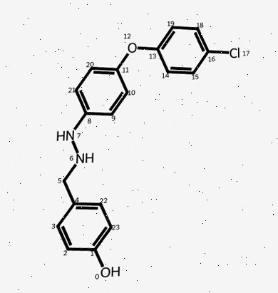 Oc1ccc(CNNc2ccc(Oc3ccc(Cl)cc3)cc2)cc1